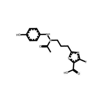 CC(=O)N(CCCc1nc(F)c(C(=O)O)s1)Nc1ccc(O)cc1